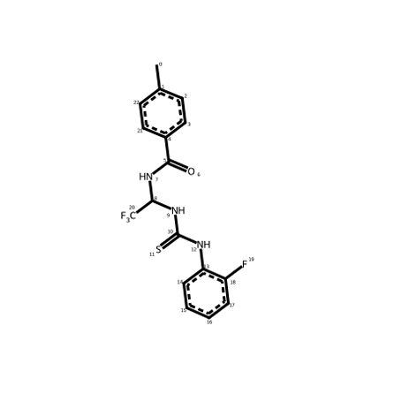 Cc1ccc(C(=O)NC(NC(=S)Nc2ccccc2F)C(F)(F)F)cc1